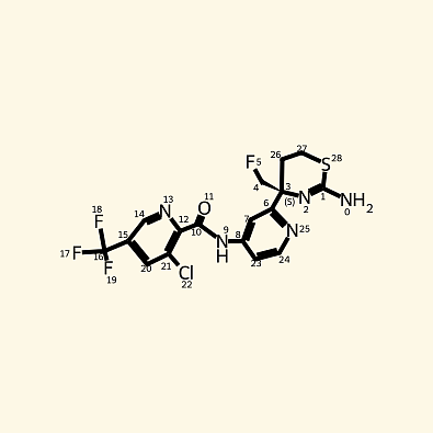 NC1=N[C@](CF)(c2cc(NC(=O)c3ncc(C(F)(F)F)cc3Cl)ccn2)CCS1